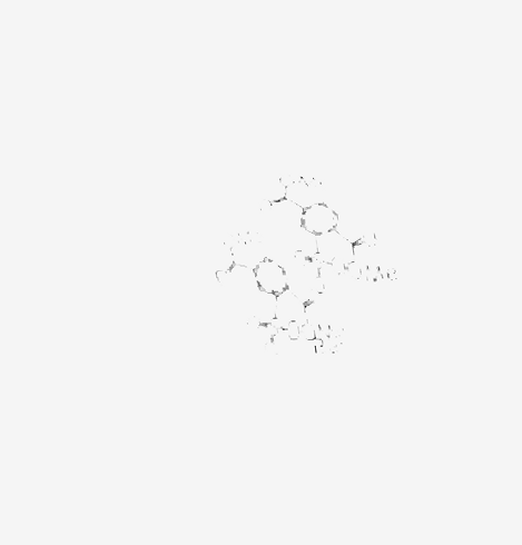 COC(=O)c1ccc(C(=O)OC)c(S(=O)(=O)[O-])c1.COC(=O)c1ccc(C(=O)OC)c(S(=O)(=O)[O-])c1.[Ba+2]